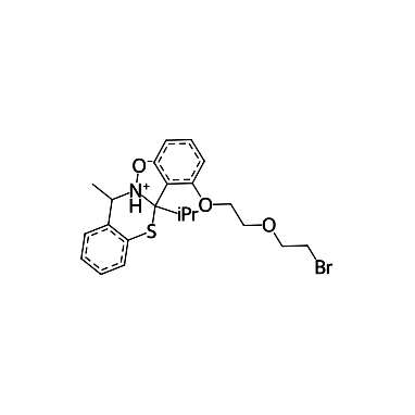 CC1c2ccccc2SC(c2ccccc2OCCOCCBr)(C(C)C)[NH+]1[O-]